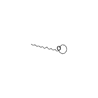 CCCCCCCCCCCCCCC1CCCCCCCCCO1